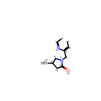 C/C=N\C(=C/C)CN1CC(CCC)CC1=O